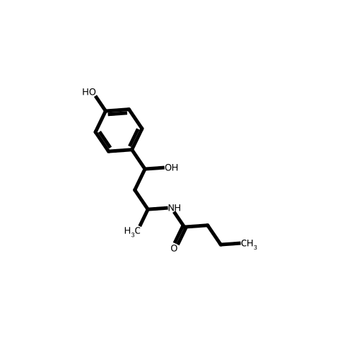 CCCC(=O)NC(C)CC(O)c1ccc(O)cc1